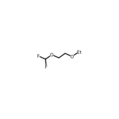 CCOCCO[C](F)F